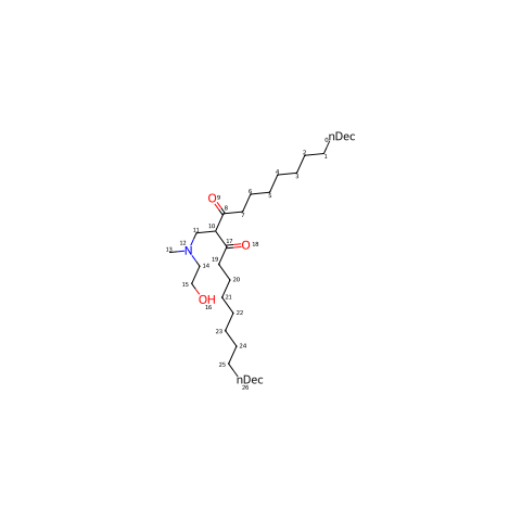 CCCCCCCCCCCCCCCCCC(=O)C(CN(C)CCO)C(=O)CCCCCCCCCCCCCCCCC